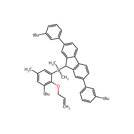 C=CCOc1c(C(C)(C)C)cc(C)cc1[Si](C)(C)C1c2cc(-c3cccc(C(C)(C)C)c3)ccc2-c2ccc(-c3cccc(C(C)(C)C)c3)cc21